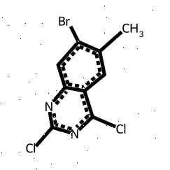 Cc1cc2c(Cl)nc(Cl)nc2cc1Br